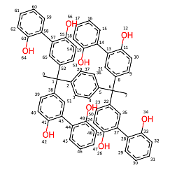 CC(c1ccc(C(C)(c2ccc(O)c(-c3ccccc3O)c2)c2ccc(O)c(-c3ccccc3O)c2)cc1)(c1ccc(O)c(-c2ccccc2O)c1)c1ccc(O)c(-c2ccccc2O)c1